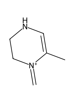 C=[N+]1CCNC=C1C